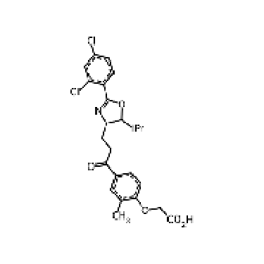 Cc1cc(C(=O)CCC2N=C(c3ccc(Cl)cc3Cl)OC2C(C)C)ccc1OCC(=O)O